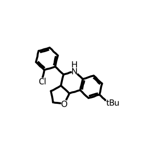 CC(C)(C)c1ccc2c(c1)C1OCCC1C(c1ccccc1Cl)N2